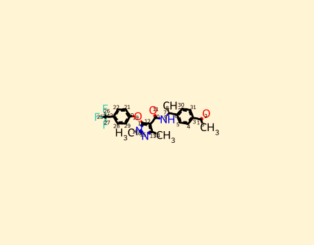 CC(=O)c1ccc([C@H](C)NC(=O)c2c(C)nn(C)c2Oc2ccc(C(F)(F)F)cc2)cc1